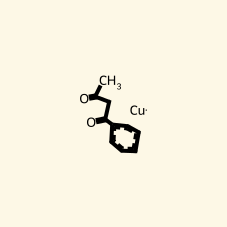 CC(=O)CC(=O)c1ccccc1.[Cu]